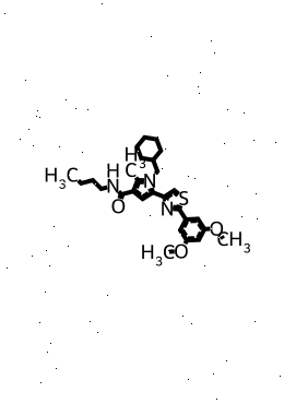 CCCCNC(=O)c1cc(-c2csc(-c3cc(OC)cc(OC)c3)n2)n(CC2CCCCC2)c1C